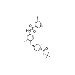 Cc1cc(NS(=O)(=O)c2cncc(Br)c2)ccc1CN1CCN(C(=O)OC(C)(C)C)[C@@H](C)C1